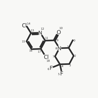 CC1CCC(F)(F)CN1C(=O)c1nc(Cl)ccc1Cl